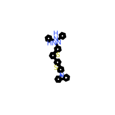 C1=CC2c3ccccc3N(c3ccc4c(c3)sc3cc(-c5cccc6c5sc5ccc(C7N=C(c8ccccc8)NC(c8ccccc8)N7)cc56)ccc34)C2C=C1